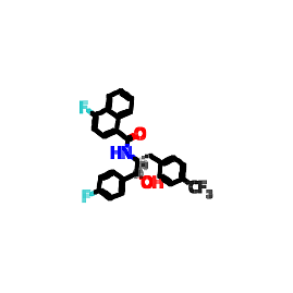 O=C(N[C@H](Cc1ccc(C(F)(F)F)cc1)[C@H](O)c1ccc(F)cc1)c1ccc(F)c2ccccc12